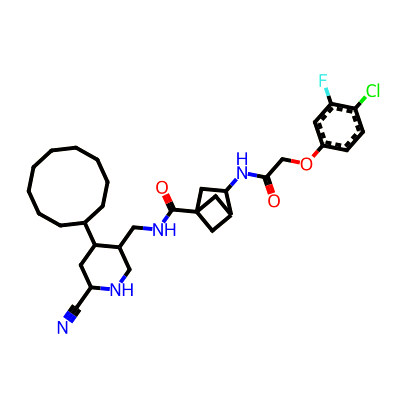 N#CC1CC(C2CCCCCCCCC2)C(CNC(=O)C23CC(C2)C(NC(=O)COc2ccc(Cl)c(F)c2)C3)CN1